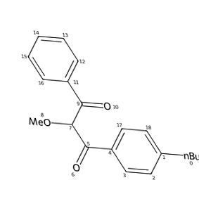 CCCCc1ccc(C(=O)C(OC)C(=O)c2ccccc2)cc1